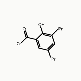 CC(C)c1cc([C](=O)[Cr])c(O)c(C(C)C)c1